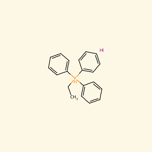 CC[PH](c1ccccc1)(c1ccccc1)c1ccccc1.I